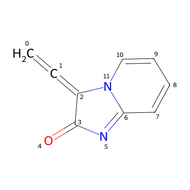 C=C=C1C(=O)N=C2C=CC=CN12